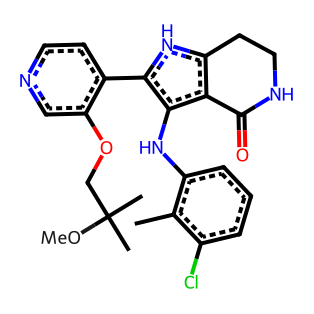 COC(C)(C)COc1cnccc1-c1[nH]c2c(c1Nc1cccc(Cl)c1C)C(=O)NCC2